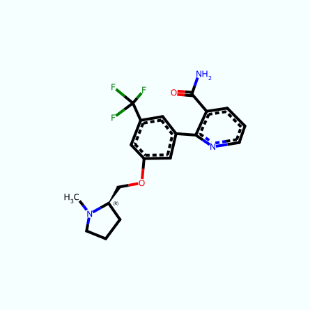 CN1CCC[C@@H]1COc1cc(-c2ncccc2C(N)=O)cc(C(F)(F)F)c1